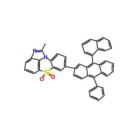 Cc1nc2cccc3c2n1-c1ccc(-c2ccc4c(-c5ccccc5)c5ccccc5c(-c5cccc6ccccc56)c4c2)cc1S3(=O)=O